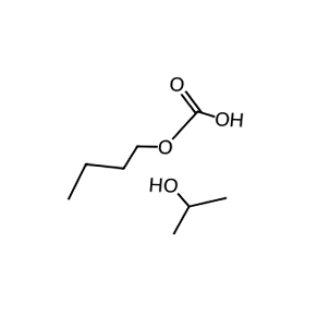 CC(C)O.CCCCOC(=O)O